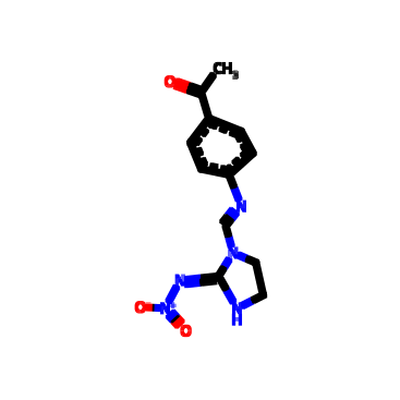 CC(=O)c1ccc(/N=C/N2CCN/C2=N\[N+](=O)[O-])cc1